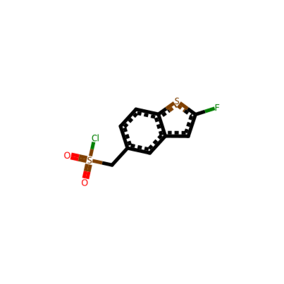 O=S(=O)(Cl)Cc1ccc2sc(F)cc2c1